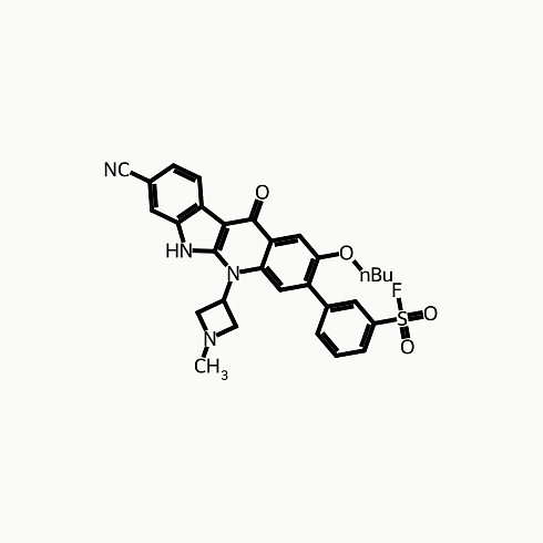 CCCCOc1cc2c(=O)c3c4ccc(C#N)cc4[nH]c3n(C3CN(C)C3)c2cc1-c1cccc(S(=O)(=O)F)c1